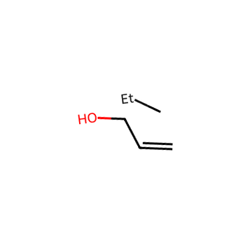 C=CCO.CCC